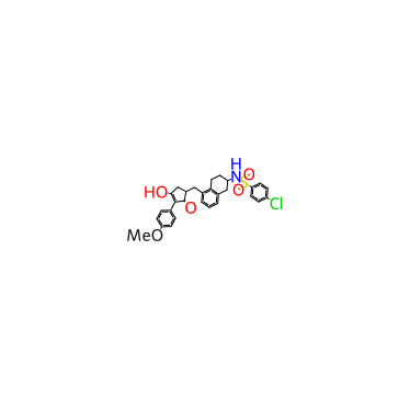 COc1ccc(C2=C(O)CC(Cc3cccc4c3CCC(NS(=O)(=O)c3ccc(Cl)cc3)C4)C2=O)cc1